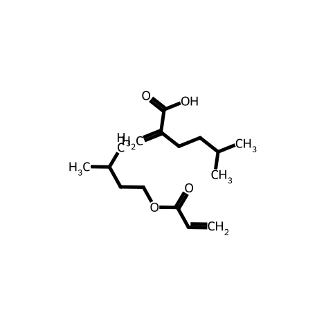 C=C(CCC(C)C)C(=O)O.C=CC(=O)OCCC(C)C